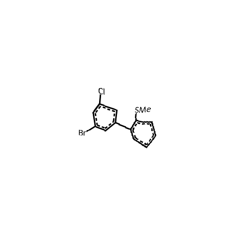 CSc1ccccc1-c1cc(Cl)cc(Br)c1